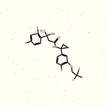 C[C@@](O)(CC(=O)NC1(c2ccc(F)c(OCC(F)(F)F)c2)CC1)c1ccc(F)cc1F